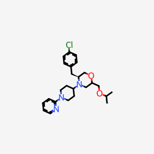 CC(C)OCC1CN(C2CCN(c3ccccn3)CC2)[C@@H](Cc2ccc(Cl)cc2)CO1